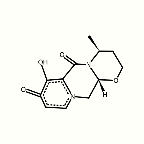 C[C@H]1CCO[C@@H]2Cn3ccc(=O)c(O)c3C(=O)N12